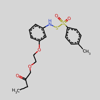 CCC(=O)COCCOc1cccc(NSS(=O)(=O)c2ccc(C)cc2)c1